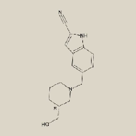 N#Cc1cc2cc(CN3CCC[C@@H](CO)C3)ccc2[nH]1